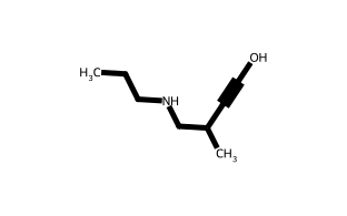 CCCNCC(C)C#CO